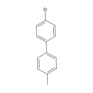 Cc1ccc(-c2ccc([O])cc2)cc1